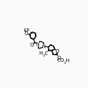 Cc1c(N2CCN(C(=O)c3cccc(OC(F)(F)F)c3)CC2)ccc2oc(OC(=O)O)cc12